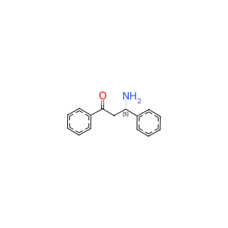 N[C@@H](CC(=O)c1ccccc1)c1ccccc1